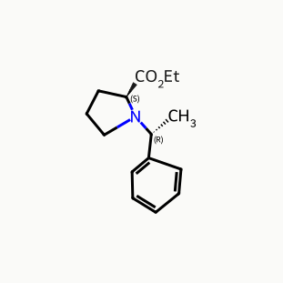 CCOC(=O)[C@@H]1CCCN1[C@H](C)c1ccccc1